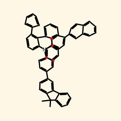 CC1(C)c2ccccc2-c2cc(-c3ccc(N(c4ccc(-c5ccc6ccccc6c5)cc4)c4cccc(-c5ccccc5)c4-c4ccccc4-c4ccccc4)cc3)ccc21